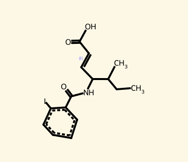 CCC(C)C(/C=C/C(=O)O)NC(=O)c1ccccc1I